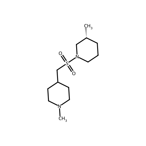 C[C@@H]1CCCN(S(=O)(=O)CC2CCN(C)CC2)C1